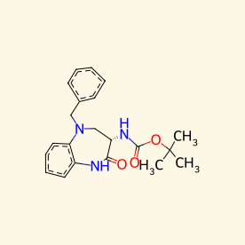 CC(C)(C)OC(=O)N[C@H]1CN(Cc2ccccc2)c2ccccc2NC1=O